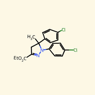 CCOC(=O)C1=NN(c2ccc(Cl)cc2)C(C)(c2ccc(Cl)cc2)C1